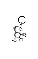 COc1cc(/C=C\C(=O)N2CCCCCCC2)cc(OC)c1OC